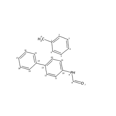 Cc1ccccc1.O=CPc1ccc(-c2ccccc2)cc1